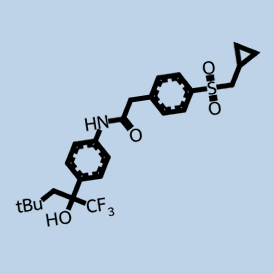 CC(C)(C)CC(O)(c1ccc(NC(=O)Cc2ccc(S(=O)(=O)CC3CC3)cc2)cc1)C(F)(F)F